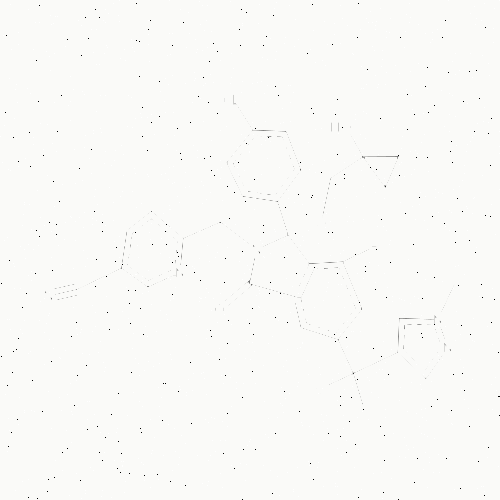 Cn1cc(C(C)(O)c2cc(F)c3c(c2)C(=O)N(Cc2ccc(C#N)cn2)[C@@]3(OCC2(O)CC2)c2ccc(Cl)cc2)cn1